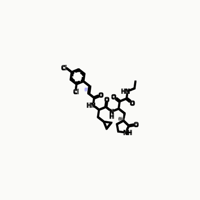 CCNC(=O)C(=O)C(C[C@@H]1CCNC1=O)NC(=O)C(CC1CC1)NC(=O)/C=C/c1ccc(Cl)cc1Cl